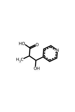 CC(C(=O)O)C(O)c1ccncc1